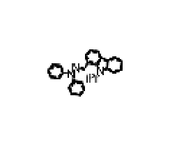 CC(C)n1c2ccccc2c2cccc(C=NN(c3ccccc3)c3ccccc3)c21